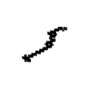 CCOC(=O)/C=C/c1ccc(OC(=O)c2ccc(OCCCCCCCCOC(=O)C(C)(C)CC)cc2)c(C)c1